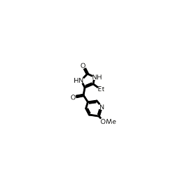 CCc1[nH]c(=O)[nH]c1C(=O)c1ccc(OC)nc1